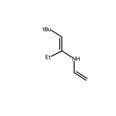 C=CN/C(=C/C(C)(C)C)CC